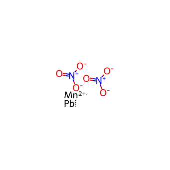 O=[N+]([O-])[O-].O=[N+]([O-])[O-].[Mn+2].[Pb]